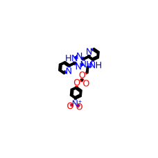 O=C(OCCNc1cccnc1C1=NNC(c2ccccn2)=NN1)Oc1ccc([N+](=O)[O-])cc1